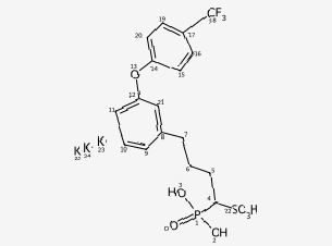 O=P(O)(O)C(CCCc1cccc(Oc2ccc(C(F)(F)F)cc2)c1)S(=O)(=O)O.[K].[K].[K]